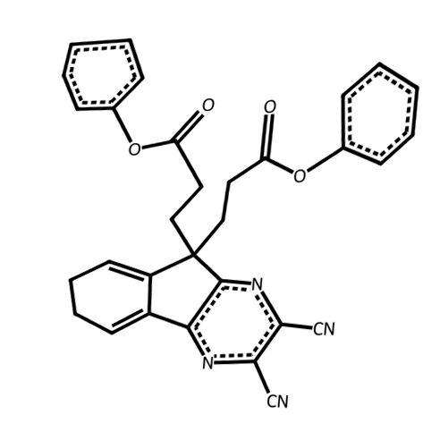 N#Cc1nc2c(nc1C#N)C(CCC(=O)Oc1ccccc1)(CCC(=O)Oc1ccccc1)C1=CCCC=C12